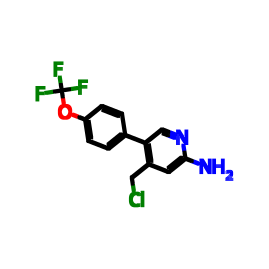 Nc1cc(CCl)c(-c2ccc(OC(F)(F)F)cc2)cn1